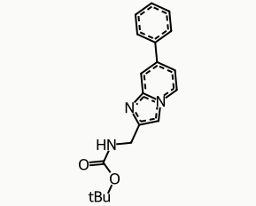 CC(C)(C)OC(=O)NCc1cn2ccc(-c3ccccc3)cc2n1